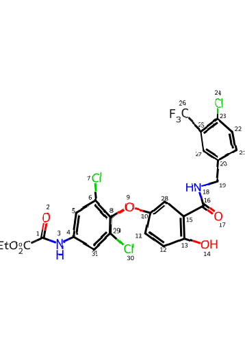 CCOC(=O)C(=O)Nc1cc(Cl)c(Oc2ccc(O)c(C(=O)NCc3ccc(Cl)c(C(F)(F)F)c3)c2)c(Cl)c1